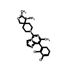 Cc1nc(N2CCC3(CC2)CO[C@@H](C)[C@H]3N)n2ccnc2c1C1=C(Cl)C(Cl)=CCC1